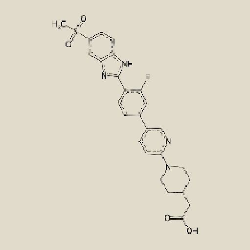 CS(=O)(=O)c1ccc2[nH]c(-c3ccc(-c4ccc(N5CCC(CC(=O)O)CC5)nc4)cc3F)nc2c1